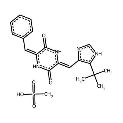 CC(C)(C)c1[nH]cnc1C=c1[nH]c(=O)c(=Cc2ccccc2)[nH]c1=O.CS(=O)(=O)O